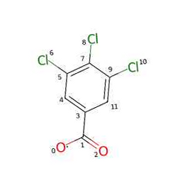 [O]C(=O)c1cc(Cl)c(Cl)c(Cl)c1